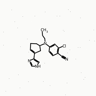 CCCN(c1ccc(C#N)c(Cl)c1)C1CCC=C(c2c[nH]cn2)C1